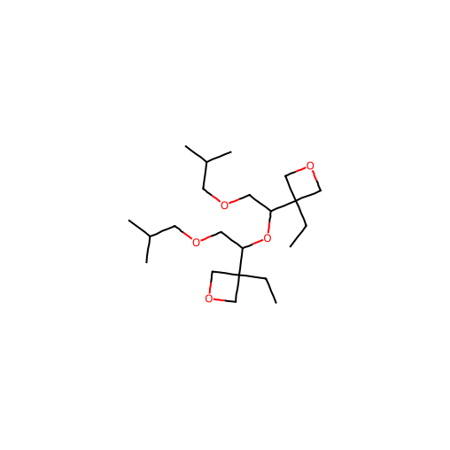 CCC1(C(COCC(C)C)OC(COCC(C)C)C2(CC)COC2)COC1